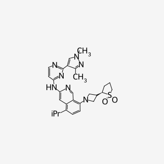 Cc1nn(C)cc1-c1nccc(Nc2cc3c(C(C)C)ccc(N4CC([C@H]5CCCS5(=O)=O)C4)c3cn2)n1